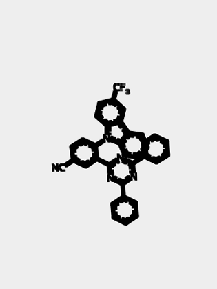 N#Cc1ccc(-n2c3ccccc3c3cc(C(F)(F)F)ccc32)c(-c2nc(-c3ccccc3)nc(-c3ccccc3)n2)c1